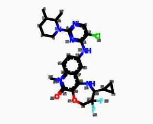 CC1CCCN(c2ncc(Cl)c(Nc3ccc4c(c3)c3c(c(=O)n4C)OCC(F)(F)[C@H](C4CC4)N3)n2)C1C